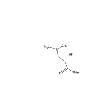 COC(=O)CCN(C)C.F